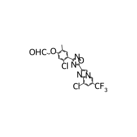 Cc1cc(-c2noc(-c3cn4cc(C(F)(F)F)cc(Cl)c4n3)n2)c(Cl)cc1OCC=O